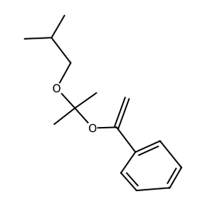 C=C(OC(C)(C)OCC(C)C)c1ccccc1